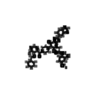 CCc1c(N2CCN(C(=O)c3ncnc(C)c3OCc3ccccc3)CC2)c(=O)n2nc(-c3ccc4ncsc4c3)nc2n1CC(=O)Nc1ccc(C(F)(F)F)cc1Cl